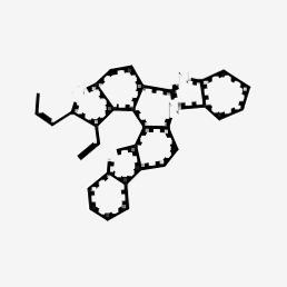 C=Cc1c(/C=C\C)oc2ccc3c(c12)c1c2sc4ccccc4c2ccc1n1c2ccccc2nc31